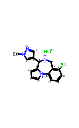 CCn1cc(C2NCc3c(Cl)cccc3-n3cccc32)cn1.Cl